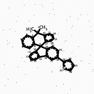 CC1(C)c2ccccc2C2(c3ccccc3-c3cc(-c4cccs4)ccc32)c2ccccc21